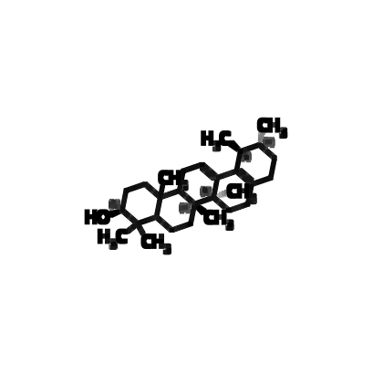 C[C@@H]1CCC2=C(C3=CCC4C5(C)CC[C@H](O)C(C)(C)C5CC[C@@]4(C)[C@]3(C)CC2)[C@H]1C